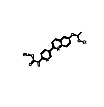 CCOC(C)Oc1ccc2nc(-c3ccc(NC(=O)OC(C)(C)C)nc3)ccc2c1